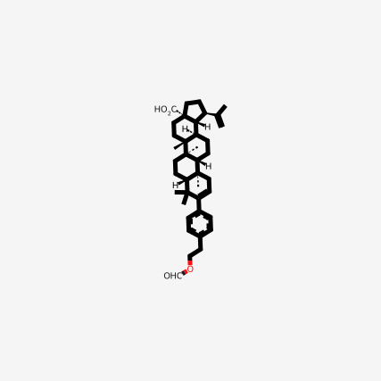 C=C(C)[C@@H]1CC[C@]2(C(=O)O)CC[C@]3(C)[C@H](CC[C@@H]4[C@@]5(C)CC=C(c6ccc(CCOC=O)cc6)C(C)(C)[C@@H]5CC[C@]43C)[C@@H]12